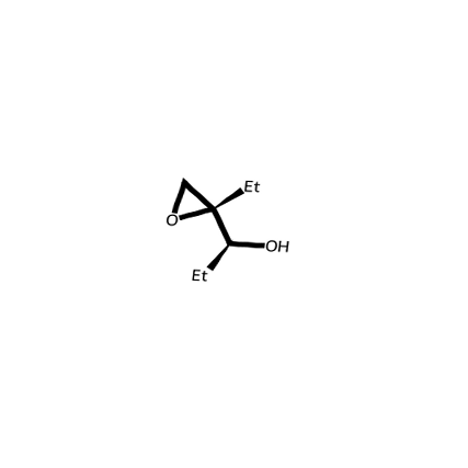 CC[C@H](O)[C@@]1(CC)CO1